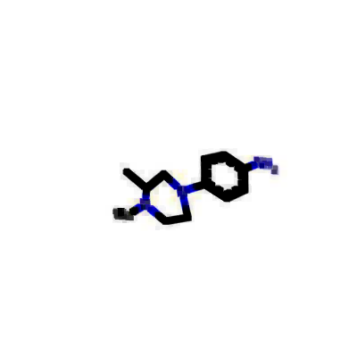 CC1CN(c2ccc(N)cc2)CCN1C(C)(C)C